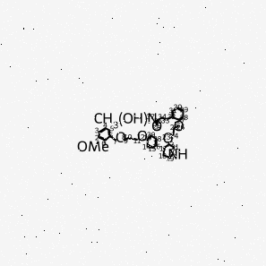 COc1ccccc1COCCCOc1ccc([C@H]2CCNC[C@@H]2OCCOc2ccccc2CCC(=O)N(C)O)cc1